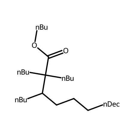 CCCCCCCCCCCCCC(CCCC)C(CCCC)(CCCC)C(=O)OCCCC